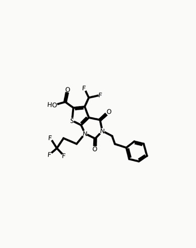 O=C(O)c1sc2c(c1C(F)F)c(=O)n(CCc1ccccc1)c(=O)n2CCC(F)(F)F